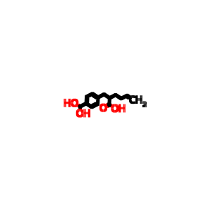 C=CCCC(Cc1ccc(C(O)O)cc1)C(=O)O